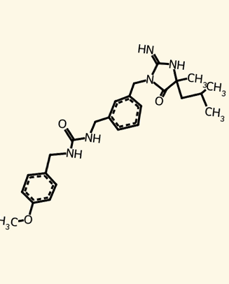 COc1ccc(CNC(=O)NCc2cccc(CN3C(=N)NC(C)(CC(C)C)C3=O)c2)cc1